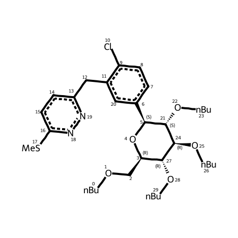 CCCCOC[C@H]1O[C@@H](c2ccc(Cl)c(Cc3ccc(SC)nn3)c2)[C@H](OCCCC)[C@@H](OCCCC)[C@@H]1OCCCC